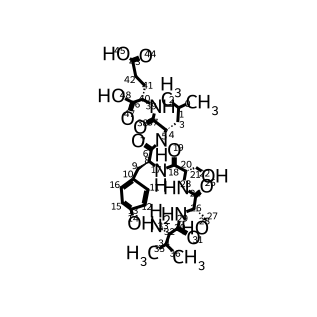 CC(C)C[C@H](NC(=O)[C@H](Cc1ccc(O)cc1)NC(=O)[C@H](CO)NC(=O)[C@H](CO)NC(=O)[C@@H](N)C(C)C)C(=O)N[C@@H](CCC(=O)O)C(=O)O